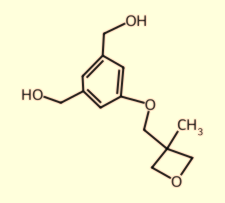 CC1(COc2cc(CO)cc(CO)c2)COC1